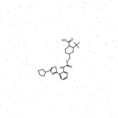 CC(C)(C)C1CC(COC(=O)Nc2ccccc2-c2nc(C3CCCC3)cs2)CCN1C(=O)O